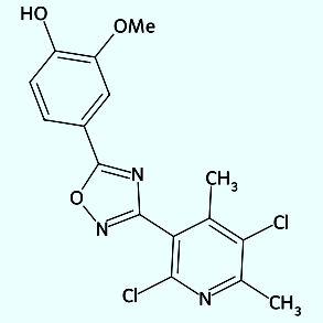 COc1cc(-c2nc(-c3c(Cl)nc(C)c(Cl)c3C)no2)ccc1O